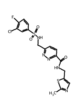 Cc1ncc(CNC(=O)c2ccc(CNS(=O)(=O)c3ccc(F)c(Cl)c3)nn2)s1